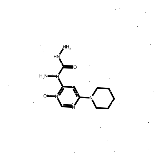 NNC(=O)N(N)c1cc(N2CCCCC2)nc[n+]1[O-]